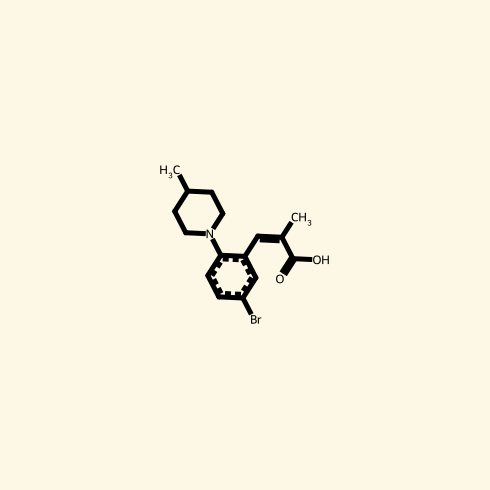 CC(=Cc1cc(Br)ccc1N1CCC(C)CC1)C(=O)O